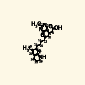 Cc1ncc(C(CC(=O)O)CC(=O)CCCCc2nc3c(cc2C)CCCN3)cn1